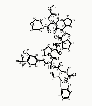 C=CCN[C@@H](Cc1ccccc1)C(=O)N(C)CC(=O)N[C@@H](CCc1ccc(C(F)(F)F)c(Cl)c1)C(=O)N1CCC[C@H]1C(=O)NC1(C(=O)N(C)[C@H](C(=O)N(C)[C@@H](CC(=O)OC)C(=O)N2CCOCC2)C2CCCC2)CCCC1